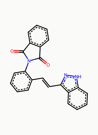 O=C1c2ccccc2C(=O)N1c1ccccc1C=Cc1n[nH]c2ccccc12